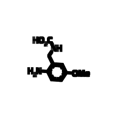 COc1ccc(N)c(CNC(=O)O)c1